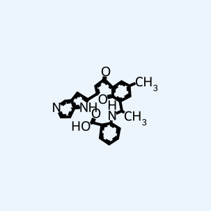 Cc1cc(C(C)Nc2ccccc2C(=O)O)c2oc(-c3cc4cnccc4[nH]3)cc(=O)c2c1